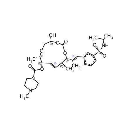 C/C(=C\c1cccc(S(=O)(=O)NC(C)C)c1)[C@H]1OC(=O)C[C@@H](O)CC[C@@H](C)[C@H](OC(=O)N2CCN(C)CC2)/C=C/[C@@H]1C